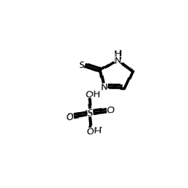 O=S(=O)(O)O.S=C1N=CCN1